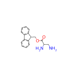 NCC(N)C(=O)OCC1c2ccccc2-c2ccccc21